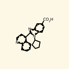 O=C(O)c1ccc2c(c1)nc(-c1ccnc3ccccc13)n2C1CCCC1